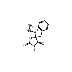 CN1C(=O)O[C@](Cc2ccccc2)(C(=O)NN)C1=O